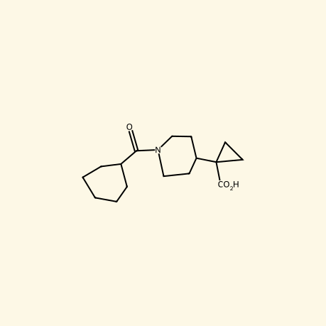 O=C(C1CCCCC1)N1CCC(C2(C(=O)O)CC2)CC1